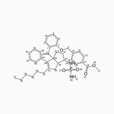 C=C(c1ccccc1OCc1ccc(C(=O)OC)cc1)C12CCC(NS(N)(=O)=O)C1CC(CCCCCC)=C2c1ccccc1